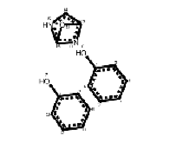 Oc1ccccc1.Oc1ccccc1.c1[nH]c2nc1O2